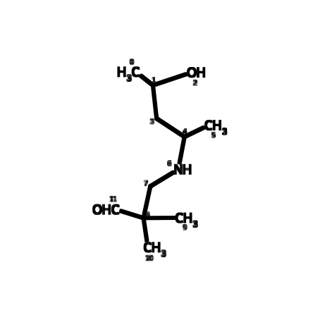 CC(O)CC(C)NCC(C)(C)C=O